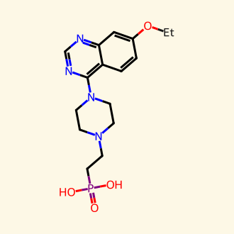 CCOc1ccc2c(N3CCN(CCP(=O)(O)O)CC3)ncnc2c1